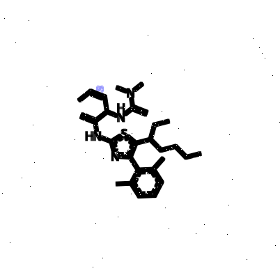 C=C(Nc1nc(-c2c(C)cccc2C)c(C(CC)CCCC)s1)C(/C=C\C)NC(=C)N(C)C